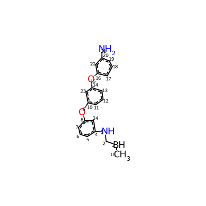 CBCNc1cccc(Oc2cccc(Oc3cccc(N)c3)c2)c1